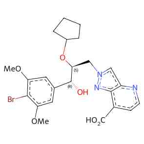 COc1cc([C@@H](O)[C@H](Cn2cc3nccc(C(=O)O)c3n2)OC2CCCC2)cc(OC)c1Br